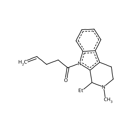 C=CCCC(=O)n1c2c(c3ccccc31)CCN(C)C2CC